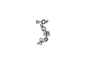 CCOC(=O)Cn1ccc(-c2nc(N3CCC(Oc4cc(F)ccc4Br)CC3)no2)c1